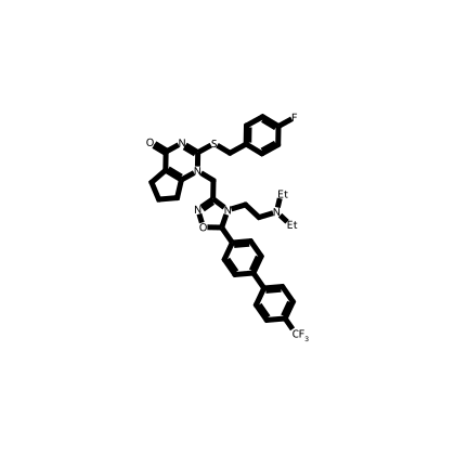 CCN(CC)CCN1C(Cn2c(SCc3ccc(F)cc3)nc(=O)c3c2CCC3)=NOC1c1ccc(-c2ccc(C(F)(F)F)cc2)cc1